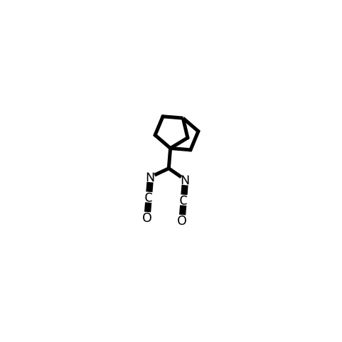 O=C=NC(N=C=O)C12CCC(CC1)C2